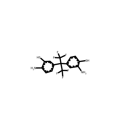 Nc1cc(C(c2ccc(N)c(S)c2)(C(F)(F)F)C(F)(F)F)ccc1S